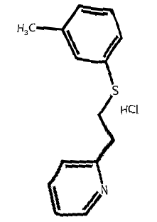 Cc1cccc(SCCc2ccccn2)c1.Cl